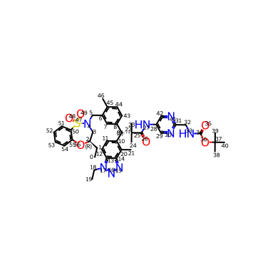 CC[C@@H]1CN(Cc2cc([C@@H](c3ccc4c(nnn4CC)c3C)C(C)(C)C(=O)Nc3cnc(CNC(=O)OC(C)(C)C)nc3)ccc2C)S(=O)(=O)c2ccccc2O1